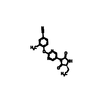 CC[C@H]1NC(=O)N(c2cnc(Oc3ccc(C#N)cc3C)nc2)C1=O